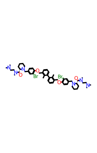 Cc1c(COc2ccc(CN3CCCC[C@H]3C(=O)N(C)CCN(C)C)cc2Br)cccc1-c1cccc(COc2ccc(CN3CCCC[C@H]3C(=O)N(C)CCN(C)C)cc2Br)c1C